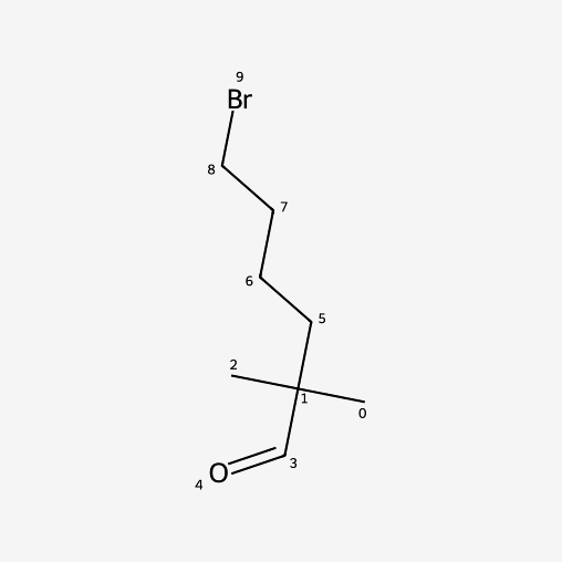 CC(C)(C=O)CCCCBr